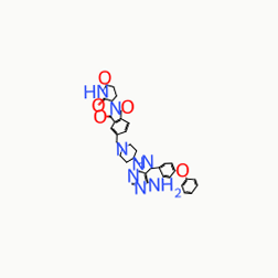 Nc1ncnc2c1c(-c1ccc(Oc3ccccc3)cc1)nn2C1CCN(Cc2ccc3c(c2)C(=O)N(C2CCC(=O)NC2=O)C3=O)CC1